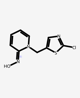 O/N=c1\ccccn1Cc1cnc(Cl)s1